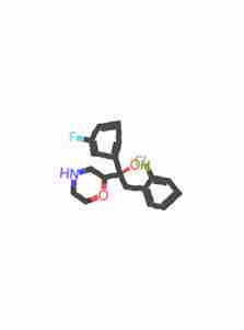 O[C@](Cc1ccccc1Cl)(c1cccc(F)c1)C1CNCCO1